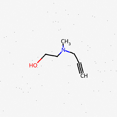 C#CCN(C)CCO